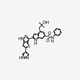 CC(C)(O)Cc1cc(S(=O)(=O)Nc2ccccc2)cc2[nH]c(-c3n[nH]c4cc(-c5cn[nH]c5)sc34)cc12